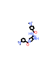 CN(C)c1ccc(C(=O)Nc2n[nH]c3c2CN(C(=O)c2cccc(N(C)C)c2)C3)cc1